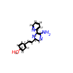 Nc1ncc(C=Cc2ccc(O)cc2)nc1-c1ccccn1